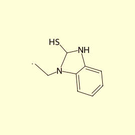 [CH2]CN1c2ccccc2NC1S